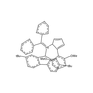 COc1cccc(OC)c1C1=CC=C[CH]1[Hf](=[C](c1ccccc1)c1ccccc1)[CH]1c2cc(C(C)(C)C)ccc2-c2ccc(C(C)(C)C)cc21